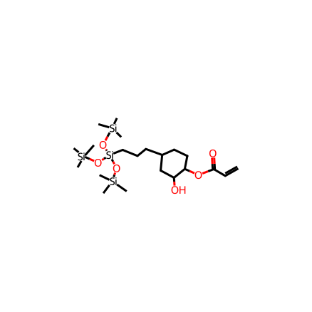 C=CC(=O)OC1CCC(CCC[Si](O[Si](C)(C)C)(O[Si](C)(C)C)O[Si](C)(C)C)CC1O